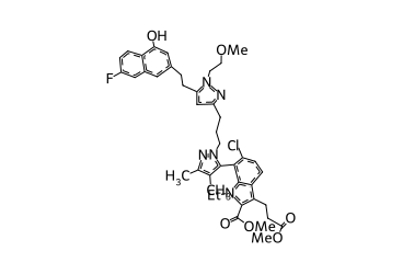 CCn1c(C(=O)OC)c(CCC(=O)OC)c2ccc(Cl)c(-c3c(C)c(C)nn3CCCc3cc(CCc4cc(O)c5ccc(F)cc5c4)n(CCOC)n3)c21